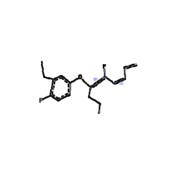 C=C/C=C\C(F)=C(/CCC)Oc1ccc(F)c(CC)c1